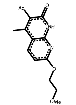 COCCOc1ccc2c(C)c(C(C)=O)c(=O)[nH]c2n1